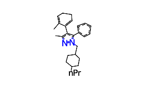 CCCC1CCC(Cn2nc(C)c(C3=CCCC=C3C)c2-c2ccccc2)CC1